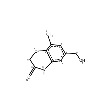 Cc1cc(CO)nc2c1OCC(=O)N2